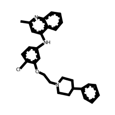 Cc1cc(Nc2ccc(Cl)c(OCCN3CCC(c4ccccc4)CC3)c2)c2ccccc2n1